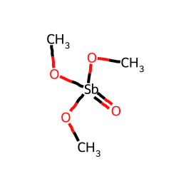 C[O][Sb](=[O])([O]C)[O]C